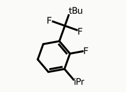 CC(C)C1=CCCC(C(F)(F)C(C)(C)C)=C1F